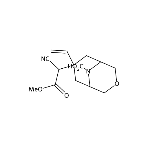 C=CC1(C(C#N)C(=O)OC)CC2COCC(C1)N2C(=O)O